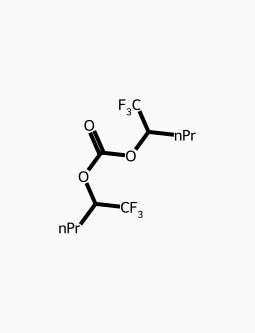 CCCC(OC(=O)OC(CCC)C(F)(F)F)C(F)(F)F